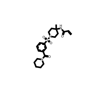 C=CC(=O)NC1(C)CCN(S(=O)(=O)c2cccc(C(=O)N3CCCCC3)c2)CC1